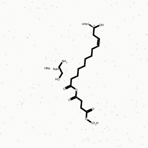 CCCCCC[C@@H](O)C/C=C\CCCCCCCC(=O)OC(=O)CCC(=O)OS(=O)(=O)O.NCCO.[NaH].[NaH]